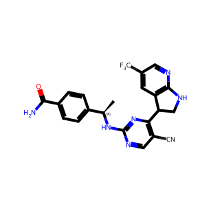 C[C@@H](Nc1ncc(C#N)c(C2CNc3ncc(C(F)(F)F)cc32)n1)c1ccc(C(N)=O)cc1